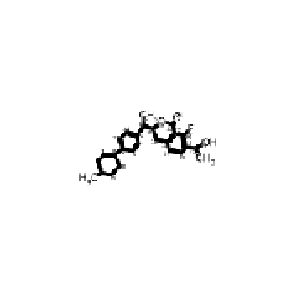 CC1CCC(c2ccc(C(C)C3Cc4ccc(C(C)O)c(F)c4C(=O)O3)cc2)CC1